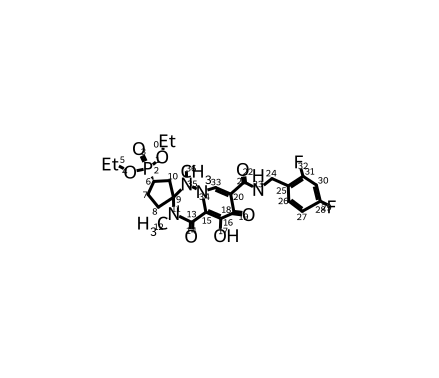 CCOP(=O)(OCC)[C@H]1CCC2(C1)N(C)C(=O)c1c(O)c(=O)c(C(=O)NCc3ccc(F)cc3F)cn1N2C